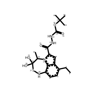 CCc1ccc2c3c1cc(C(=O)NNC(=O)OC(C)(C)C)n3C(C)C(O)(O)SN2